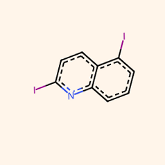 Ic1ccc2c(I)cccc2n1